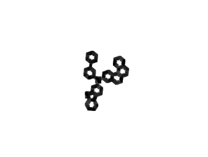 c1ccc(-c2cccc(N(c3ccc4c(ccc5ccc6ccccc6c54)c3)c3ccc4c(c3)sc3ccccc34)c2)cc1